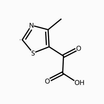 Cc1n[c]sc1C(=O)C(=O)O